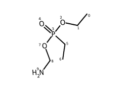 CCOP(=O)(CC)OCN